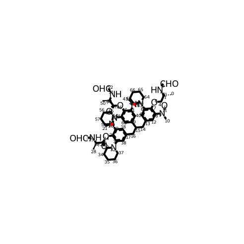 C[C@@H](NC=O)C(=O)Oc1c(N(C)C)cc(CC(Cc2cc(N(C)C)c(OC(=O)[C@@H](C)NC=O)c(N3CCCCC3)c2)c2cc(N(C)C)c(OC(=O)[C@@H](C)NC=O)c(N3CCCCC3)c2)cc1N1CCCCC1